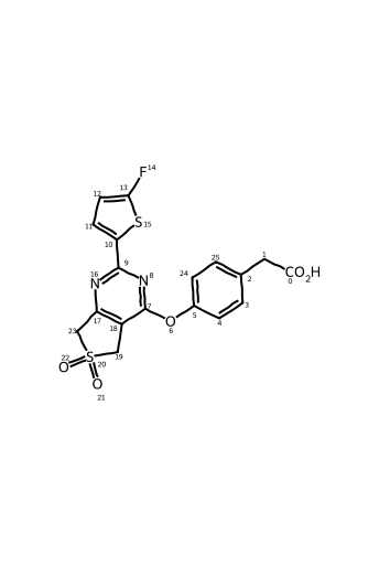 O=C(O)Cc1ccc(Oc2nc(-c3ccc(F)s3)nc3c2CS(=O)(=O)C3)cc1